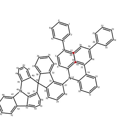 c1ccc(-c2ccc(N(c3ccccc3-c3cccc(-c4ccccc4)c3)c3cccc4c3-c3ccccc3C43c4ccccc4-n4c5ccccc5c5cccc3c54)cc2)cc1